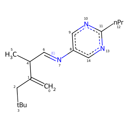 C=C(CC(C)(C)C)C(C)/C=N/c1cnc(CCC)nc1